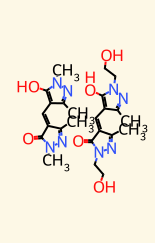 CC1=NN(C)C(=O)C1=Cc1c(C)nn(C)c1O.CC1=NN(CCO)C(=O)C1=Cc1c(C)nn(CCO)c1O